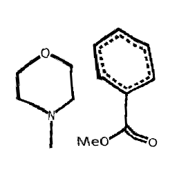 CN1CCOCC1.COC(=O)c1ccccc1